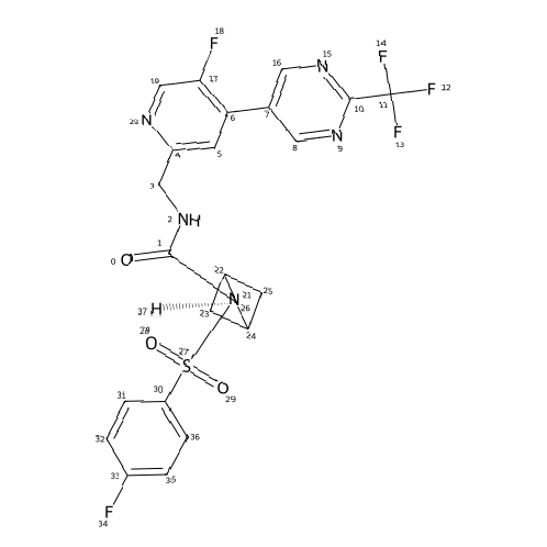 O=C(NCc1cc(-c2cnc(C(F)(F)F)nc2)c(F)cn1)[C@@H]1C2CC(C2)N1S(=O)(=O)c1ccc(F)cc1